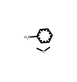 CSC.Nc1ccccc1